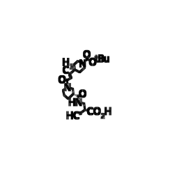 C#C[C@@H](CNC(=O)[C@@H]1CCCN(C(=O)/C=C(\C)C2CCN(C(=O)OC(C)(C)C)CC2)C1)C(=O)O